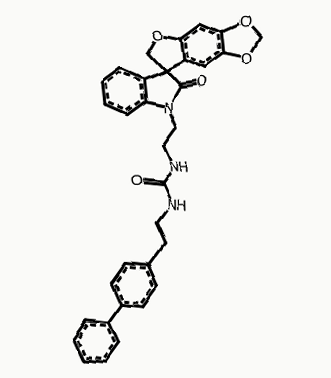 O=C(NCCc1ccc(-c2ccccc2)cc1)NCCN1C(=O)C2(COc3cc4c(cc32)OCO4)c2ccccc21